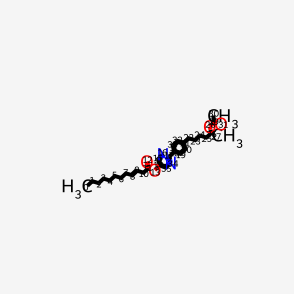 CCCCCCCCC=CCC(=O)Oc1cnc(-c2ccc(CCCCC(C)OC(C)=O)cc2)nc1